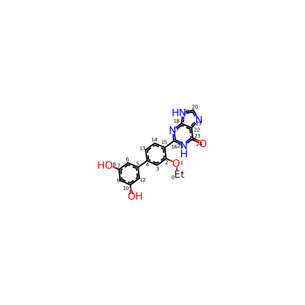 CCOc1cc(-c2cc(O)cc(O)c2)ccc1-c1nc2[nH]cnc2c(=O)[nH]1